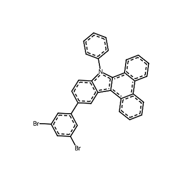 Brc1cc(Br)cc(-c2ccc3c(c2)c2c4ccccc4c4ccccc4c2n3-c2ccccc2)c1